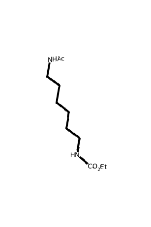 CCOC(=O)NCCCCCCNC(C)=O